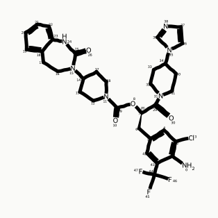 Nc1c(Cl)cc(C[C@@H](OC(=O)N2CCC(N3CCc4ccccc4NC3=O)CC2)C(=O)N2CCC(n3ccnc3)CC2)cc1C(F)(F)F